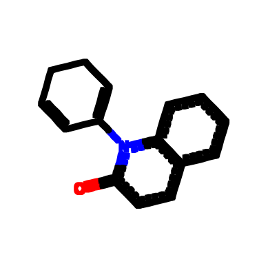 O=c1ccc2ccccc2n1C1=CCCC=C1